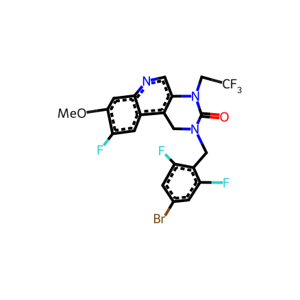 COc1cc2ncc3c(c2cc1F)CN(Cc1c(F)cc(Br)cc1F)C(=O)N3CC(F)(F)F